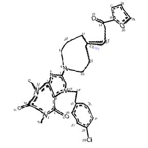 Cn1c(=O)c2c(nc(N3CCC/C(=C\C(=O)c4ccco4)CC3)n2Cc2ccc(Cl)cc2)n(C)c1=O